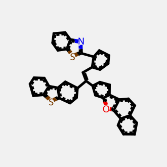 C(=C(/c1ccc2c(c1)oc1c3ccccc3ccc21)c1ccc2sc3ccccc3c2c1)/c1ccccc1-c1nc2ccccc2s1